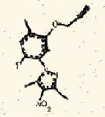 C#CCOc1cc(-n2nc(C)c([N+](=O)[O-])c2C)c(F)cc1C